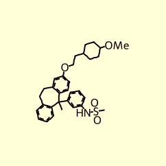 COC1CCC(CCOc2ccc3c(c2)CCc2ccccc2C3(C)c2cccc(NS(C)(=O)=O)c2)CC1